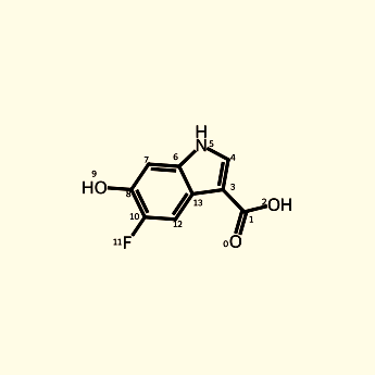 O=C(O)c1c[nH]c2cc(O)c(F)cc12